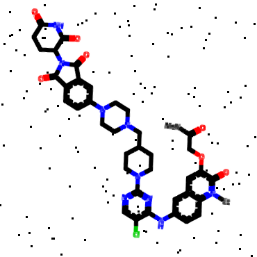 CCn1c(=O)c(OCC(=O)NC)cc2cc(Nc3nc(N4CCC(CN5CCN(c6ccc7c(c6)C(=O)N(C6CCC(=O)NC6=O)C7=O)CC5)CC4)ncc3Cl)ccc21